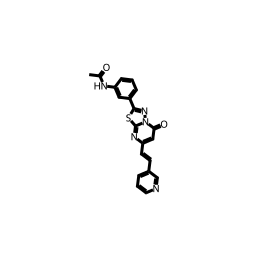 CC(=O)Nc1cccc(-c2nn3c(=O)cc(/C=C/c4cccnc4)nc3s2)c1